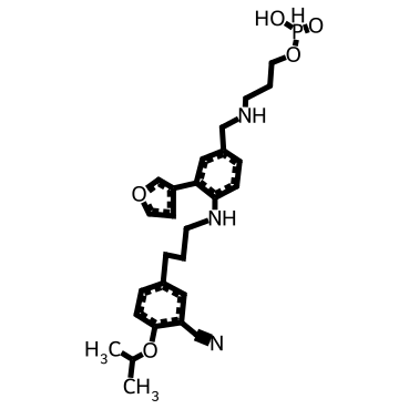 CC(C)Oc1ccc(CCCNc2ccc(CNCCCO[PH](=O)O)cc2-c2ccoc2)cc1C#N